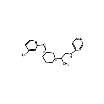 Cc1cccc(O[C@@H]2CCC[C@H](C(C)CNc3ccncc3)C2)c1